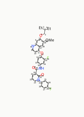 CCC(CC)COc1cc2nccc(Oc3ccc(NC(=O)c4cccn(-c5ccc(F)cc5)c4=O)cc3F)c2cc1OC